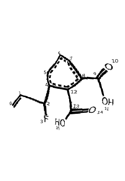 C=CC(F)c1cccc(C(=O)O)c1C(=O)O